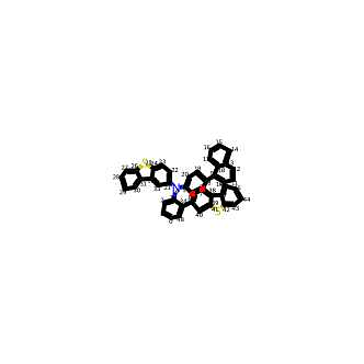 c1ccc(N(c2ccc(-c3cccc4ccccc34)cc2)c2ccc3sc4ccccc4c3c2)c(-c2ccc3c(c2)sc2ccccc23)c1